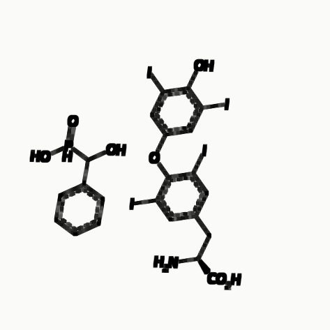 N[C@@H](Cc1cc(I)c(Oc2cc(I)c(O)c(I)c2)c(I)c1)C(=O)O.O=[PH](O)C(O)c1ccccc1